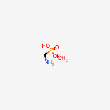 NCP(=O)(O)O.O